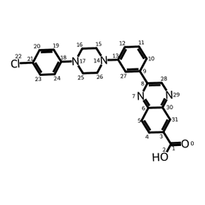 O=C(O)c1ccc2nc(-c3cccc(N4CCN(c5ccc(Cl)cc5)CC4)c3)cnc2c1